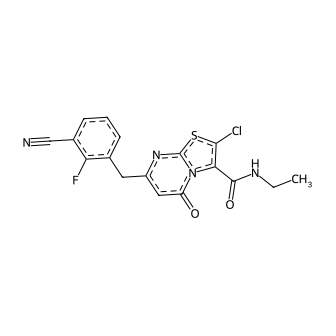 CCNC(=O)c1c(Cl)sc2nc(Cc3cccc(C#N)c3F)cc(=O)n12